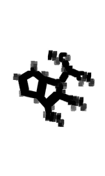 CN(C)n1c(N)c(N)c2ccsc21